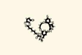 CS(=O)(Cc1cc2nc(c1)OCCCOc1cc(F)ccc1-c1cc(ncc1F)N2)=NC(=O)NCCCCCC(=O)ON1C(=O)CCC1=O